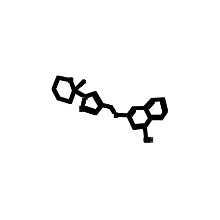 C[C@@]1(n2cc(CSc3cc(O)c4ccccc4c3)cn2)CCCCO1